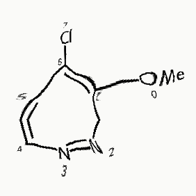 COc1nnccc1Cl